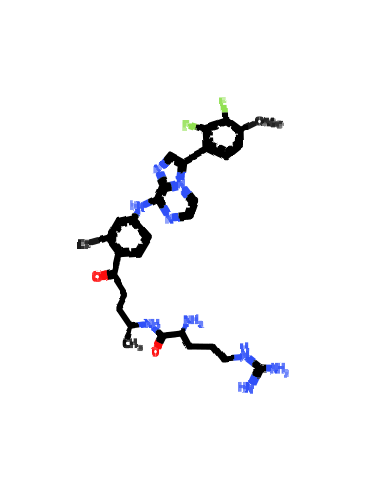 CCc1cc(Nc2nccn3c(-c4ccc(OC)c(F)c4F)cnc23)ccc1C(=O)CC[C@H](C)NC(=O)[C@@H](N)CCCNC(=N)N